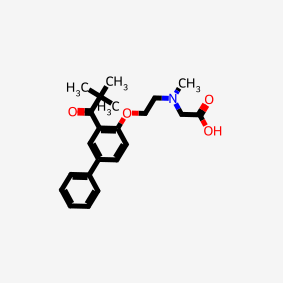 CN(CCOc1ccc(-c2ccccc2)cc1C(=O)C(C)(C)C)CC(=O)O